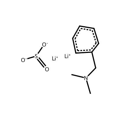 CN(C)Cc1ccccc1.O=S([O-])[O-].[Li+].[Li+]